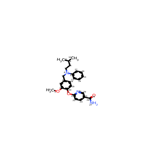 COc1cc(CN(CCC(C)C)c2ccccc2)ccc1Oc1ccc(C(N)=O)cn1